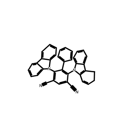 N#Cc1cc(C#N)c(-n2c3ccccc3c3ccccc32)c(-c2ccccc2)c1-n1c2c(c3ccccc31)CCC=C2